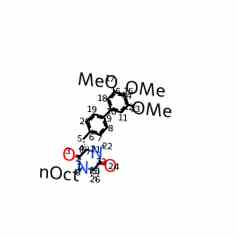 CCCCCCCCN1C(=O)[C@H](Cc2ccc(-c3cc(OC)c(OC)c(OC)c3)cc2)N(C)C(=O)[C@@H]1C